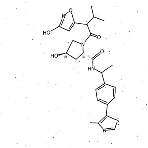 Cc1ncsc1-c1ccc(C(C)NC(=O)[C@@H]2C[C@@H](O)CN2C(=O)C(c2cc(O)no2)C(C)C)cc1